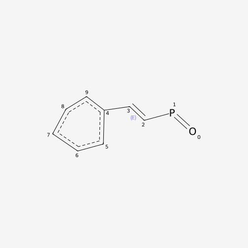 O=P/C=C/c1ccccc1